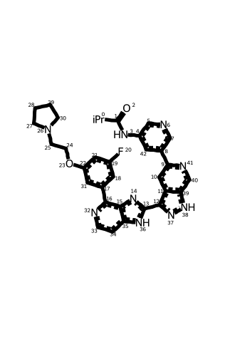 CC(C)C(=O)Nc1cncc(-c2cc3c(-c4nc5c(-c6cc(F)cc(OCCN7CCCC7)c6)nccc5[nH]4)n[nH]c3cn2)c1